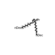 CCCCCCCCCCCCCCCCCCCc1n(C(C)C)cc[n+]1CCCCCCCCCCCCCCCCCCC